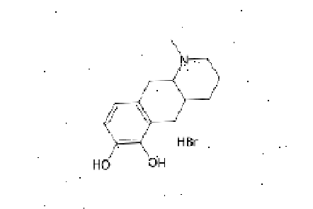 Br.CN1CCCC2Cc3c(ccc(O)c3O)CC21